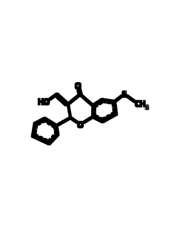 CSc1ccc2c(c1)C(=O)/C(=C/O)C(c1ccccc1)O2